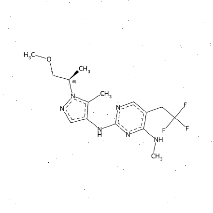 CNc1nc(Nc2cnn([C@H](C)COC)c2C)ncc1CC(F)(F)F